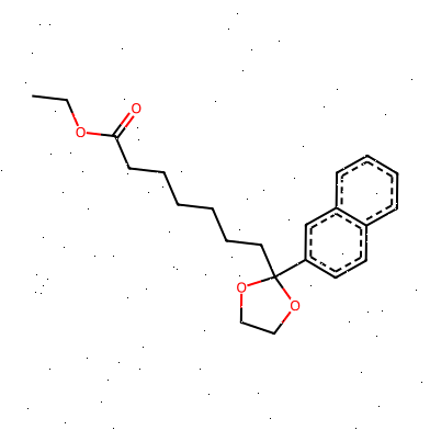 CCOC(=O)CCCCCCC1(c2ccc3ccccc3c2)OCCO1